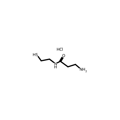 Cl.NCCC(=O)NCCS